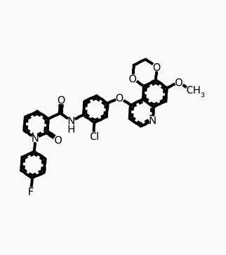 COc1cc2nccc(Oc3ccc(NC(=O)c4cccn(-c5ccc(F)cc5)c4=O)c(Cl)c3)c2c2c1OCCO2